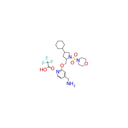 NCc1ccnc(OCC2CC(C3CCCCC3)CN2S(=O)(=O)N2CCOCC2)c1.O=C(O)C(F)(F)F